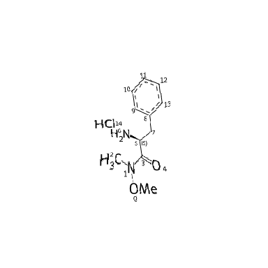 CON(C)C(=O)[C@@H](N)Cc1ccccc1.Cl